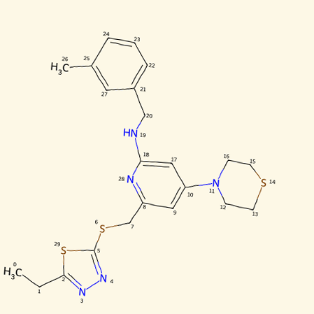 CCc1nnc(SCc2cc(N3CCSCC3)cc(NCc3cccc(C)c3)n2)s1